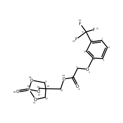 O=C(COc1cccc(C(F)(F)F)c1)OCC12COP(=O)(OC1)OC2